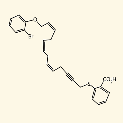 O=C(O)c1ccccc1SCC#CC/C=C\C/C=C\C/C=C\COc1ccccc1Br